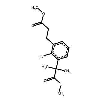 COC(=O)CCc1cccc(C(C)(C)C(=O)OC)c1S